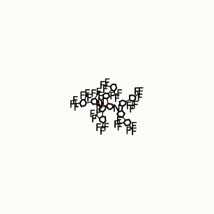 N#Cc1ccc(-n2c3ccc(-c4ccc(C(F)(F)F)cc4C(F)(F)F)cc3c3cc(-c4ccc(C(F)(F)F)cc4C(F)(F)F)ccc32)cc1-c1cc(-c2c(C(F)(F)F)cccc2C(F)(F)F)ccc1-n1c2ccc(-c3ccc(C(F)(F)F)cc3C(F)(F)F)cc2c2cc(-c3ccc(C(F)(F)F)cc3C(F)(F)F)cc(C(F)(F)F)c21